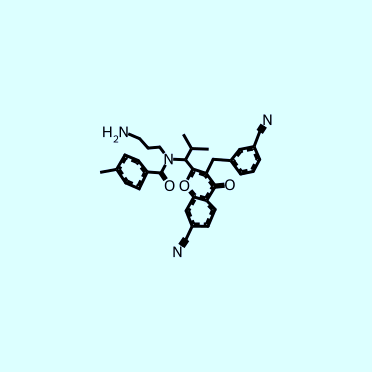 Cc1ccc(C(=O)N(CCCN)C(c2oc3cc(C#N)ccc3c(=O)c2Cc2cccc(C#N)c2)C(C)C)cc1